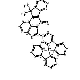 CC1(C)c2ccccc2-c2c1c1cccc3nc(-c4ccc5c(c4)C4(c6ccccc6-c6ccccc64)c4ccccc4-5)n(c2=O)c31